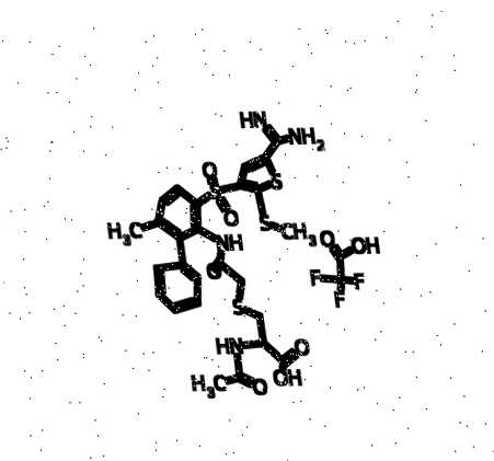 CSc1sc(C(=N)N)cc1S(=O)(=O)c1ccc(C)c(-c2ccccc2)c1NC(=O)CSCC(NC(C)=O)C(=O)O.O=C(O)C(F)(F)F